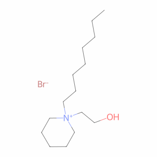 CCCCCCCC[N+]1(CCO)CCCCC1.[Br-]